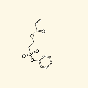 C=CC(=O)OCCS(=O)(=O)Oc1ccccc1